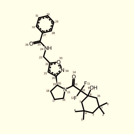 CC1(C)CC(C)(C)CC(O)(C(F)(F)C(=O)N2CCC[C@H]2c2cc(CNC(=O)c3ccccc3)on2)C1